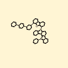 c1ccc(-c2ccc(-c3cccc(-c4cccc5c4oc4c(-n6c7ccccc7c7c6ccc6c8ccccc8n(-c8ccccc8)c67)cccc45)c3)cc2)cc1